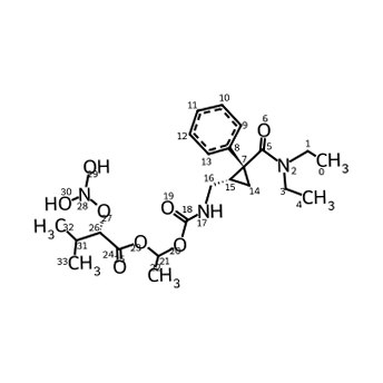 CCN(CC)C(=O)[C@]1(c2ccccc2)C[C@@H]1CNC(=O)OC(C)OC(=O)[C@@H](ON(O)O)C(C)C